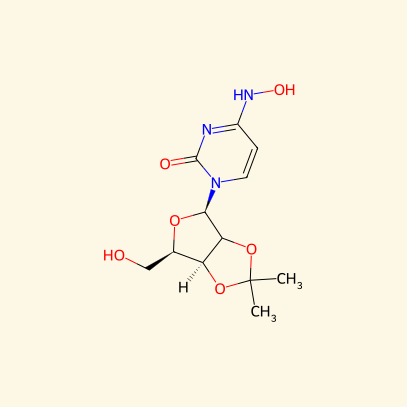 CC1(C)OC2[C@@H](O1)[C@@H](CO)O[C@H]2n1ccc(NO)nc1=O